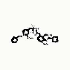 [2H]C([2H])(Cc1ccc(OCc2ccccc2)c(OC)c1)NC(=O)Cc1ccc(OC)c(OCc2ccccc2)c1CO